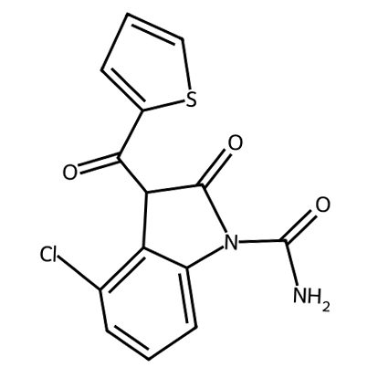 NC(=O)N1C(=O)C(C(=O)c2cccs2)c2c(Cl)cccc21